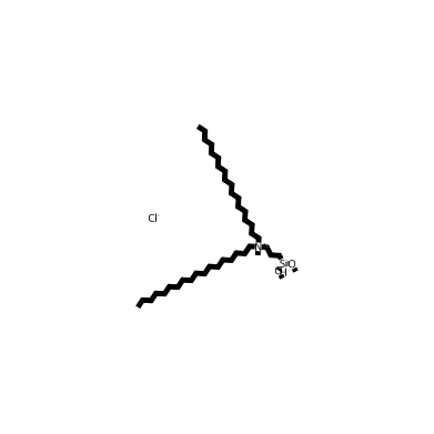 CCCCCCCCCCCCCCCCCC[N+](C)(CCCCCCCCCCCCCCCCCC)CCC[SiH](OC)OC.[Cl-]